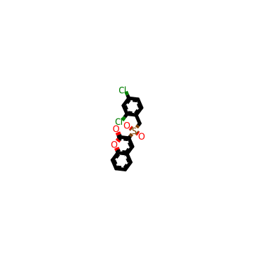 O=c1oc2ccccc2cc1S(=O)(=O)Cc1ccc(Cl)cc1Cl